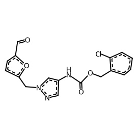 O=Cc1ccc(Cn2cc(NC(=O)OCc3ccccc3Cl)cn2)o1